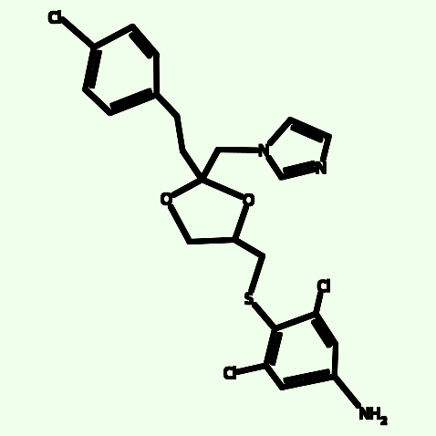 Nc1cc(Cl)c(SCC2COC(CCc3ccc(Cl)cc3)(Cn3ccnc3)O2)c(Cl)c1